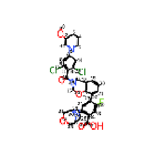 COC1CCCN(c2cc(Cl)c(C(=O)N3COc4c(cccc4-c4cc(N5C6CCC5COC6)c(C(=O)O)cc4F)C3)c(Cl)c2)C1